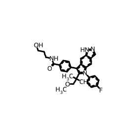 COCC(C)(C)c1c(-c2ccc(C(=O)NCCCO)cc2)c2cc3[nH]ncc3cc2n1-c1ccc(F)cc1